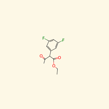 CCOC(=O)C(C(C)=O)c1cc(F)cc(F)c1